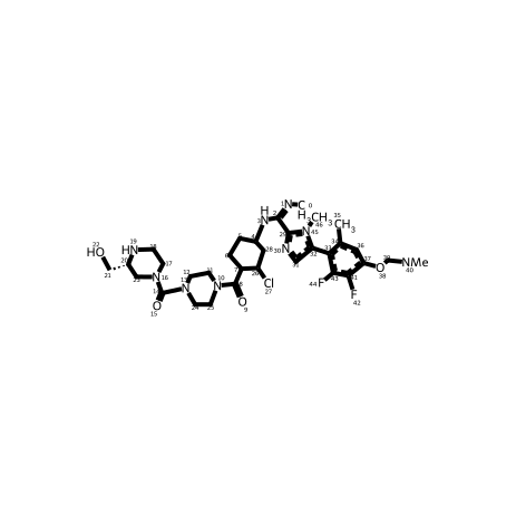 C/N=C(/NC1CCC(C(=O)N2CCN(C(=O)N3CCN[C@@H](CO)C3)CC2)C(Cl)C1)c1ncc(-c2c(C)cc(OCNC)c(F)c2F)n1C